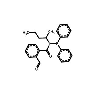 CCCC(C)P(C(=O)c1ccccc1C=O)P(c1ccccc1)c1ccccc1